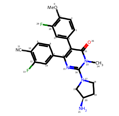 COc1ccc(-c2c(-c3ccc(C#N)c(F)c3)nc(N3CC[C@@H](N)C3)n(C)c2=O)cc1F